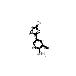 Nc1ncc(-c2n[nH]c(=O)o2)cc1Br